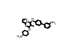 Cc1c(O[C@H]2CC[C@H](N)CC2)nc2ccnn2c1Nc1ccc(-c2cccc(N)c2)cc1